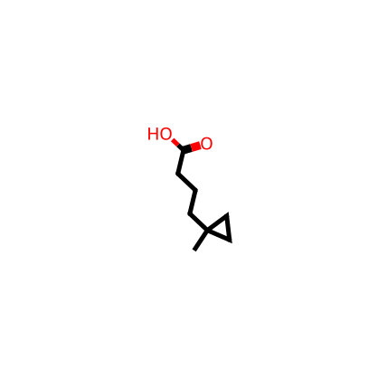 CC1(CCCC(=O)O)CC1